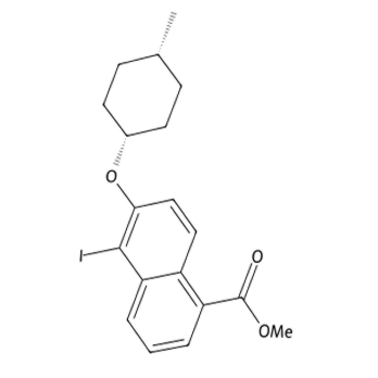 COC(=O)c1cccc2c(I)c(O[C@H]3CC[C@@H](C)CC3)ccc12